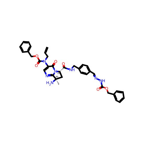 C=CCN(C(=O)OCc1ccccc1)c1cnc2n(c1=O)[C@H](C(=O)NCc1ccc(C=NNC(=O)OCc3ccccc3)cc1)C[C@@]2(C)N